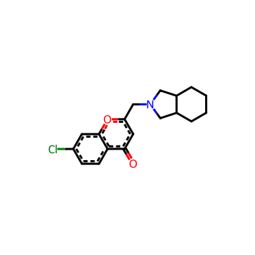 O=c1cc(CN2CC3CCCCC3C2)oc2cc(Cl)ccc12